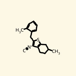 [C-]#[N+]c1c(Cc2ccccc2C)sc2c1CCC(C)C2